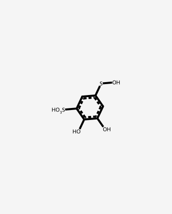 O=S(=O)(O)c1cc(SO)cc(O)c1O